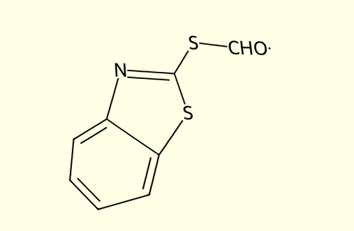 O=[C]Sc1nc2ccccc2s1